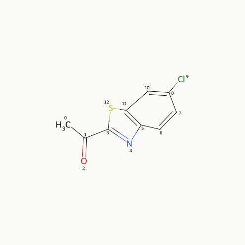 CC(=O)c1nc2ccc(Cl)cc2s1